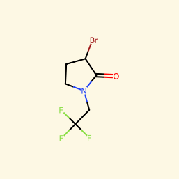 O=C1C(Br)CCN1CC(F)(F)F